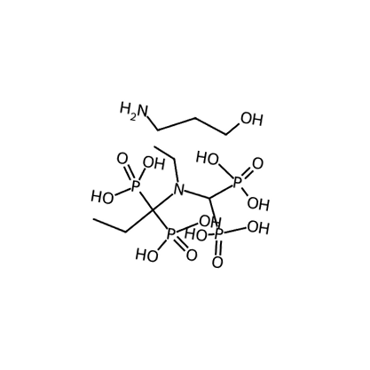 CCN(C(P(=O)(O)O)P(=O)(O)O)C(CC)(P(=O)(O)O)P(=O)(O)O.NCCCO